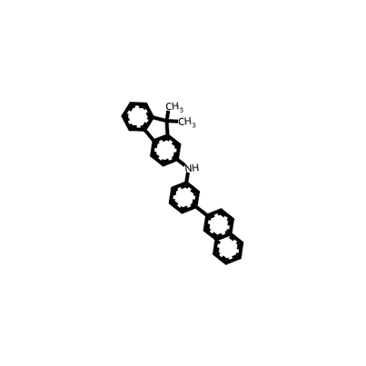 CC1(C)c2ccccc2-c2ccc(Nc3cccc(-c4ccc5ccccc5c4)c3)cc21